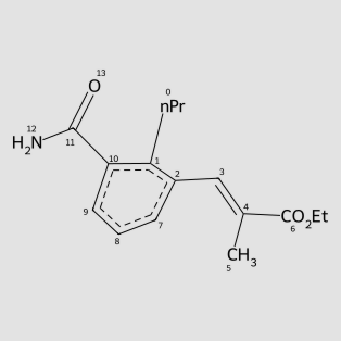 CCCc1c(C=C(C)C(=O)OCC)cccc1C(N)=O